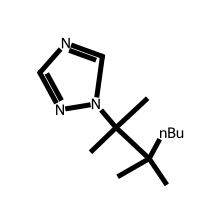 CCCCC(C)(C)C(C)(C)n1cncn1